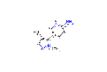 Cc1cnn(C)c1-c1ccc(N)nc1